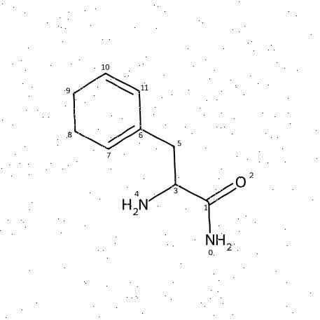 NC(=O)C(N)CC1=CCCC=C1